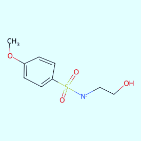 COc1ccc(S(=O)(=O)[N]CCO)cc1